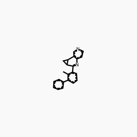 Cc1c(C2=Nc3ccncc3C3CC23)cccc1-c1ccccc1